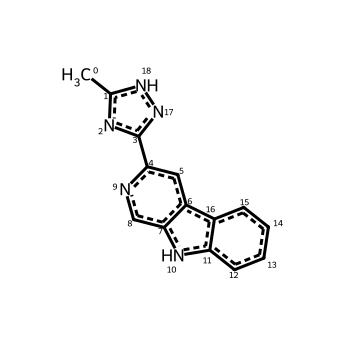 Cc1nc(-c2cc3c(cn2)[nH]c2ccccc23)n[nH]1